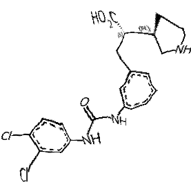 O=C(Nc1cccc(C[C@H](C(=O)O)[C@H]2CCNC2)c1)Nc1ccc(Cl)c(Cl)c1